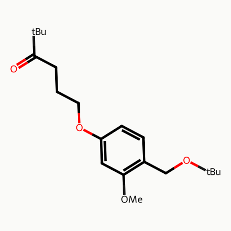 COc1cc(OCCCC(=O)C(C)(C)C)ccc1COC(C)(C)C